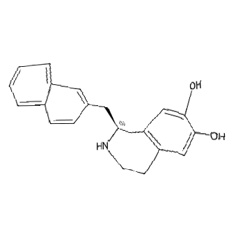 Oc1cc2c(cc1O)[C@H](Cc1ccc3ccccc3c1)NCC2